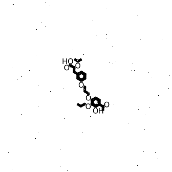 CCCOc1c(OCCCOc2cccc(CC(OC(C)C)C(=O)O)c2)ccc(C(C)=O)c1O